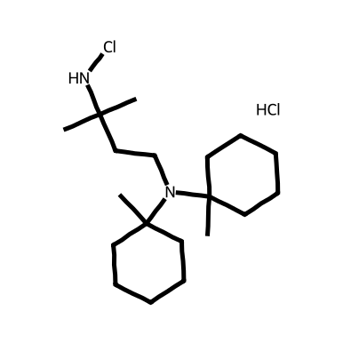 CC(C)(CCN(C1(C)CCCCC1)C1(C)CCCCC1)NCl.Cl